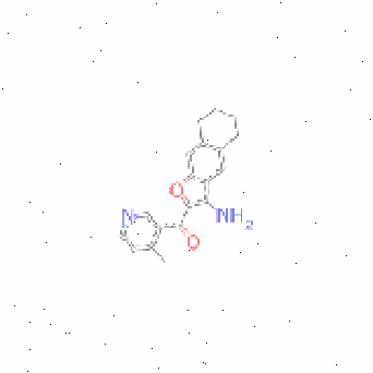 Cc1ccncc1C(=O)c1oc2cc3c(cc2c1N)CCCC3